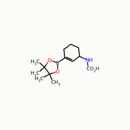 CC1(C)OB(C2=CC(NC(=O)O)CCC2)OC1(C)C